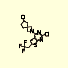 O=C1CCC2(C1)CN(c1nc(Cl)nc3sc(CC(F)(F)F)cc13)C2